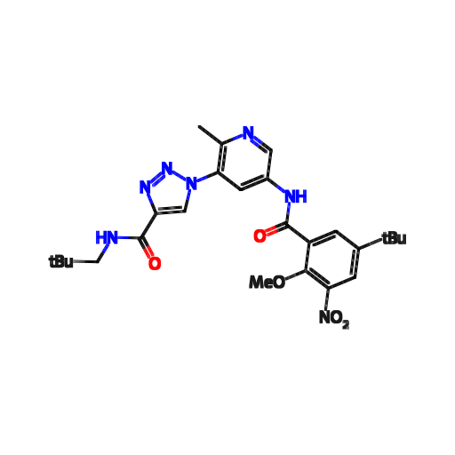 COc1c(C(=O)Nc2cnc(C)c(-n3cc(C(=O)NCC(C)(C)C)nn3)c2)cc(C(C)(C)C)cc1[N+](=O)[O-]